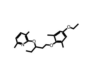 CCOc1cc(C)c(OCCC(CC)Oc2nc(C)ccc2C)c(C)c1